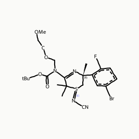 COCCOCN(C(=O)OC(C)(C)C)C1=N[C@](C)(c2cc(Br)ccc2F)C/S(=N\C#N)C1(C)C